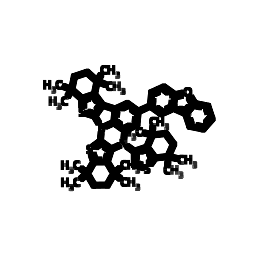 CC1(C)CCC(C)(C)c2c(N3c4cc(-c5ccc6oc7ccccc7c6c5)cc5c4B(c4sc6c(c4-5)C(C)(C)CCC6(C)C)c4sc5c(c43)C(C)(C)CCC5(C)C)csc21